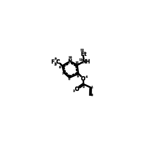 C=CC(=O)Oc1ccc(C(F)(F)F)nc1NCC